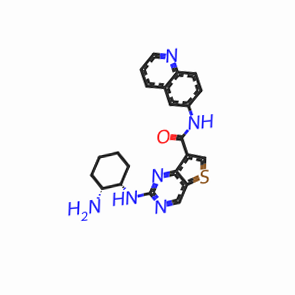 N[C@@H]1CCCC[C@@H]1Nc1ncc2scc(C(=O)Nc3ccc4ncccc4c3)c2n1